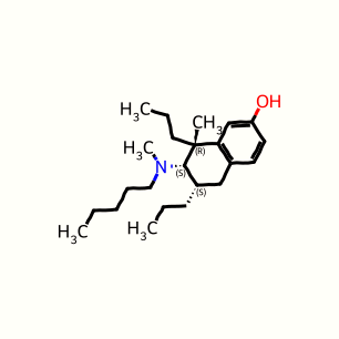 CCCCCN(C)[C@H]1[C@@H](CCC)Cc2ccc(O)cc2[C@@]1(C)CCC